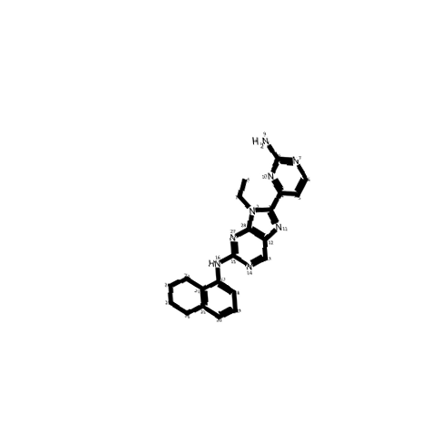 CCn1c(-c2ccnc(N)n2)nc2cnc(Nc3cccc4c3CCCC4)nc21